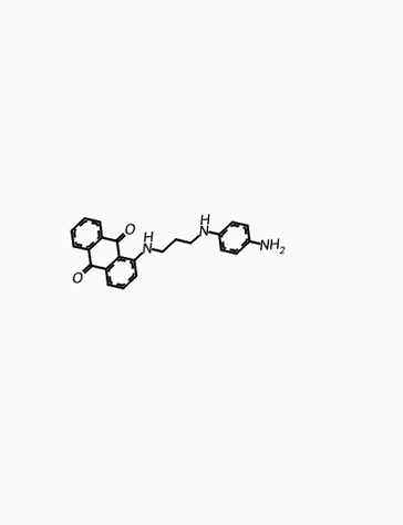 Nc1ccc(NCCCNc2cccc3c2C(=O)c2ccccc2C3=O)cc1